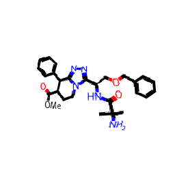 COC(=O)C1CCn2c(nnc2[C@@H](COCc2ccccc2)NC(=O)C(C)(C)N)C1c1ccccc1